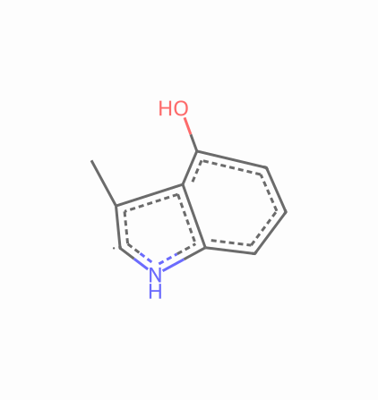 Cc1[c][nH]c2cccc(O)c12